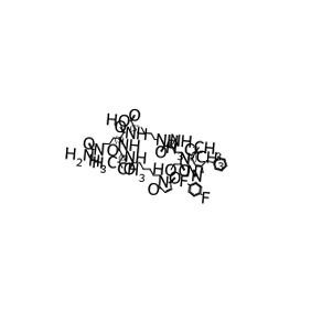 CC(C)[C@H](NC(=O)CCCCCN1C(=O)C=CC1=O)C(=O)N[C@@H](CCCNC(N)=O)C(=O)N[C@@H](CCCCNC(=O)[C@@H](N)CCN(C(=O)CO)[C@@H](c1nn(-c2cc(F)ccc2F)cc1Cc1ccccc1)C(C)(C)C)C(=O)O